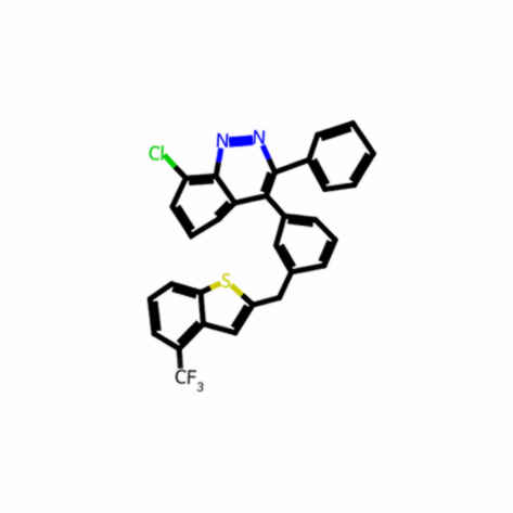 FC(F)(F)c1cccc2sc(Cc3cccc(-c4c(-c5ccccc5)nnc5c(Cl)cccc45)c3)cc12